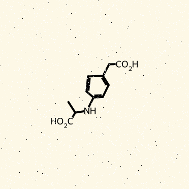 CC(Nc1ccc(CC(=O)O)cc1)C(=O)O